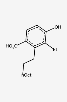 CCCCCCCCCCc1c(C(=O)O)ccc(O)c1CC